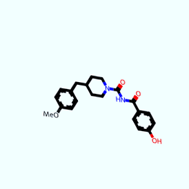 COc1ccc(CC2CCN(C(=O)NC(=O)c3ccc(O)cc3)CC2)cc1